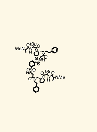 CN[C@@H](C)C(=O)N[C@H](C(=O)N1CCC[C@H]1CN(CCc1ccccc1)C(=O)CNS(=O)(=O)c1cccc(S(=O)(=O)NCC(=O)N(CCc2ccccc2)C[C@@H]2CCCN2C(=O)[C@@H](NC(=O)[C@H](C)NC)C(C)(C)C)c1)C(C)(C)C